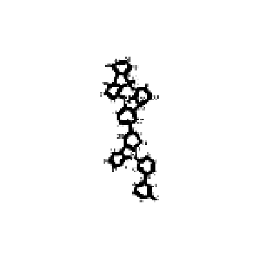 Cc1cccc(-c2cccc(-n3c4c(c5ccccc53)C=C(c3ccc5c(c3)c3ccccc3n5-c3cccc5c3C(C)(C)c3ccccc3-5)CC4)c2)c1